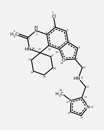 C=C1Nc2c(Cl)cc3cc(CNCc4nccn4C)oc3c2C2(CCCCC2)N1